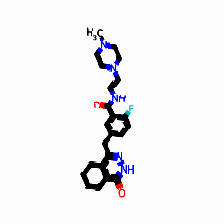 CN1CCN(CCNC(=O)c2cc(Cc3n[nH]c(=O)c4c3CCCC4)ccc2F)CC1